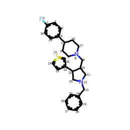 Fc1ccc(C2CCN(CC3CN(Cc4ccccc4)CC3c3ccsc3)CC2)cc1